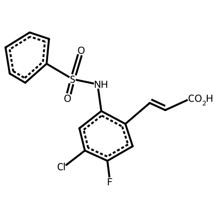 O=C(O)/C=C/c1cc(F)c(Cl)cc1NS(=O)(=O)c1ccccc1